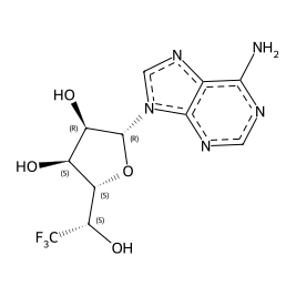 Nc1ncnc2c1ncn2[C@@H]1O[C@H]([C@H](O)C(F)(F)F)[C@@H](O)[C@H]1O